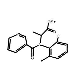 COC(=O)C(C)N(C(=O)c1cccnc1)c1c(C)cccc1Cl